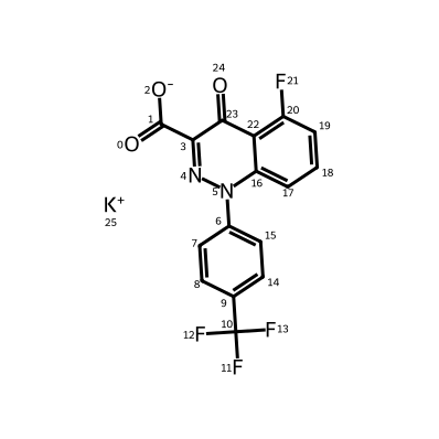 O=C([O-])c1nn(-c2ccc(C(F)(F)F)cc2)c2cccc(F)c2c1=O.[K+]